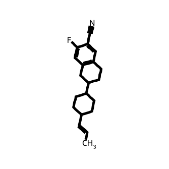 C/C=C/C1CCC(C2CCc3cc(C#N)c(F)cc3C2)CC1